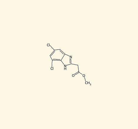 COC(=O)Cc1nc2cc(Cl)cc(Cl)c2[nH]1